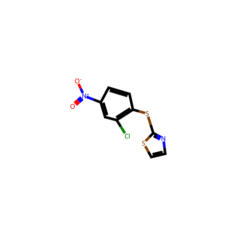 O=[N+]([O-])c1ccc(Sc2nccs2)c(Cl)c1